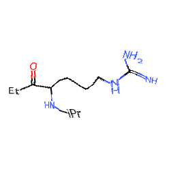 CCC(=O)C(CCCNC(=N)N)NC(C)C